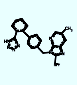 CCCc1nc2cc(C)cnc2n1Cc1ccc(-c2ccccc2-c2nnn[nH]2)cc1